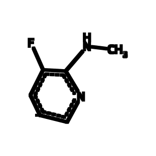 CNc1nc[c]cc1F